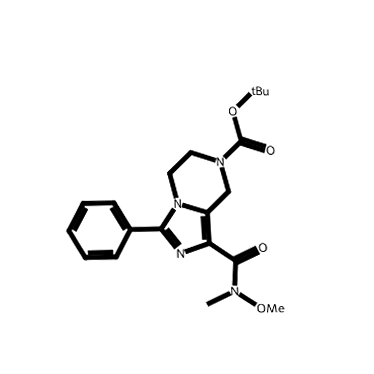 CON(C)C(=O)c1nc(-c2ccccc2)n2c1CN(C(=O)OC(C)(C)C)CC2